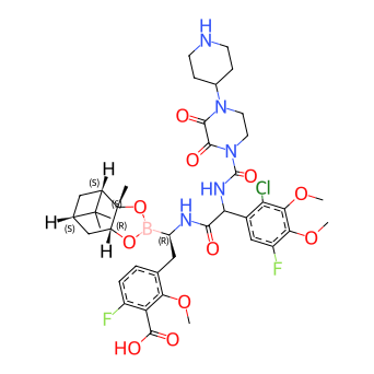 COc1c(F)cc(C(NC(=O)N2CCN(C3CCNCC3)C(=O)C2=O)C(=O)N[C@@H](Cc2ccc(F)c(C(=O)O)c2OC)B2O[C@@H]3C[C@@H]4C[C@@H](C4(C)C)[C@]3(C)O2)c(Cl)c1OC